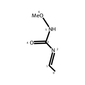 CC=NC(=O)NOC